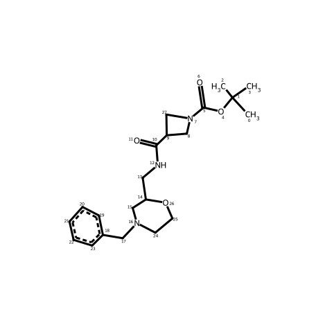 CC(C)(C)OC(=O)N1CC(C(=O)NCC2CN(Cc3ccccc3)CCO2)C1